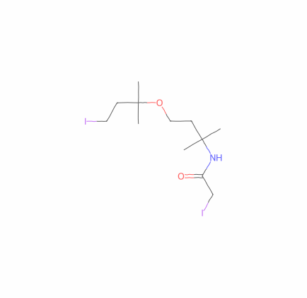 CC(C)(CCOC(C)(C)CCI)NC(=O)CI